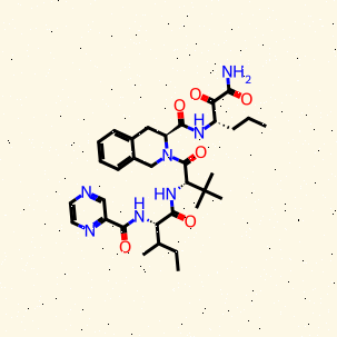 CCC[C@H](NC(=O)[C@@H]1Cc2ccccc2CN1C(=O)[C@@H](NC(=O)[C@@H](NC(=O)c1cnccn1)C(C)CC)C(C)(C)C)C(=O)C(N)=O